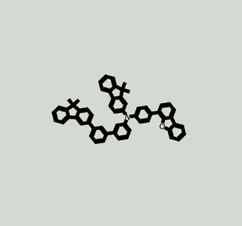 CC1(C)c2ccccc2-c2cc(-c3cccc(-c4cccc(N(c5ccc(-c6cccc7c6oc6ccccc67)cc5)c5ccc6c(c5)C(C)(C)c5ccccc5-6)c4)c3)ccc21